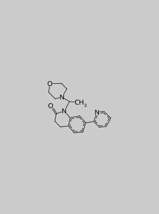 CC(N1CCOCC1)N1C(=O)CCc2ccc(-c3ccccn3)cc21